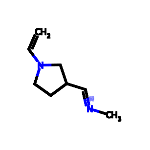 C=CN1CCC(/C=N/C)C1